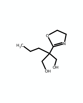 CCCC(CO)(CO)C1=NCCO1